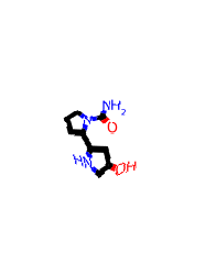 NC(=O)N1CCCC1C1CC(O)CN1